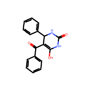 O=C1NC(O)=C(C(=O)c2ccccc2)C(c2ccccc2)N1